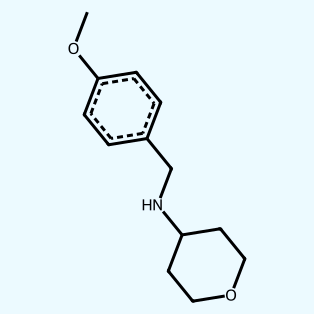 COc1ccc(CNC2CCOCC2)cc1